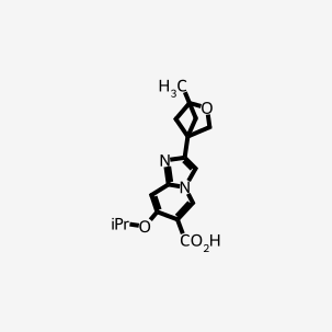 CC(C)Oc1cc2nc(C34COC(C)(C3)C4)cn2cc1C(=O)O